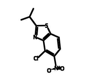 CC(C)c1nc2c(Cl)c([N+](=O)[O-])ccc2s1